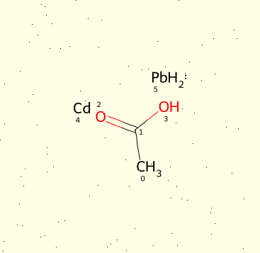 CC(=O)O.[Cd].[PbH2]